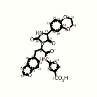 O=C(O)c1csc(NC(=O)C(Cc2ccc3ocnc3c2)N2C(=O)NC(c3ccc4c(c3)OCCO4)C2=O)n1